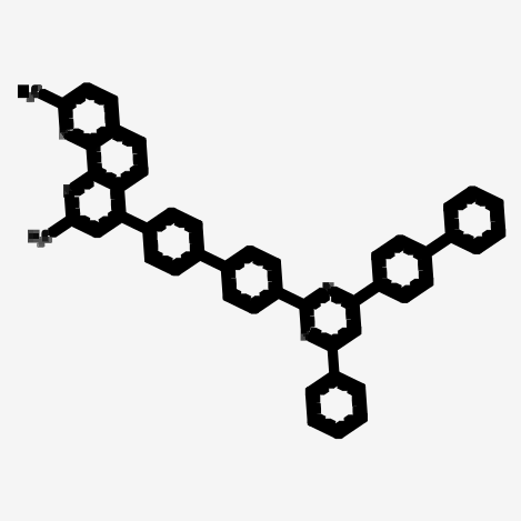 Cc1ccc2ccc3c(-c4ccc(-c5ccc(-c6nc(-c7ccccc7)cc(-c7ccc(-c8ccccc8)cc7)n6)cc5)cc4)cc(C)nc3c2n1